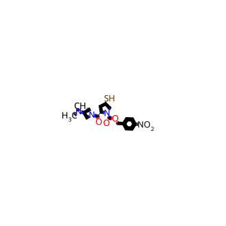 CN(C)C1CN(C(=O)[C@@H]2C[C@H](S)CN2C(=O)OCc2ccc([N+](=O)[O-])cc2)C1